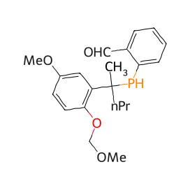 CCCC(C)(Pc1ccccc1C=O)c1cc(OC)ccc1OCOC